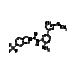 C=C/C(=C\C=N/C)c1ccc(N)c(NC(=O)N2Cc3ccc(C(F)(F)F)cc3C2)c1